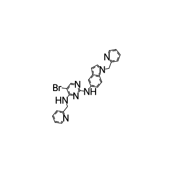 Brc1cnc(Nc2ccc3c(ccn3Cc3ccccn3)c2)nc1NCc1ccccn1